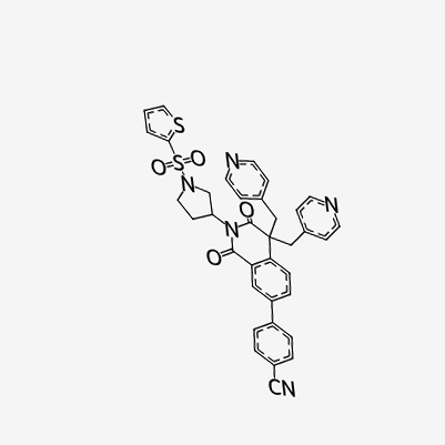 N#Cc1ccc(-c2ccc3c(c2)C(=O)N(C2CCN(S(=O)(=O)c4cccs4)C2)C(=O)C3(Cc2ccncc2)Cc2ccncc2)cc1